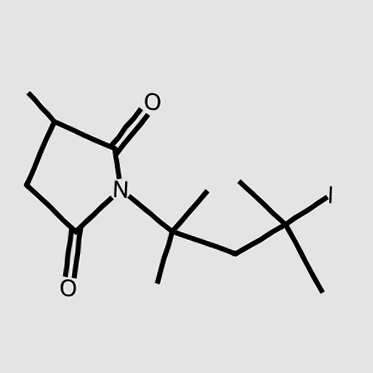 CC1CC(=O)N(C(C)(C)CC(C)(C)I)C1=O